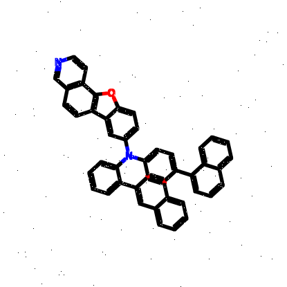 c1ccc(N(c2ccc(-c3cccc4ccccc34)cc2)c2ccc3oc4c5ccncc5ccc4c3c2)c(-c2ccc3ccccc3c2)c1